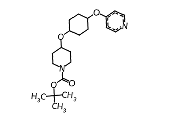 CC(C)(C)OC(=O)N1CCC(OC2CCC(Oc3ccncc3)CC2)CC1